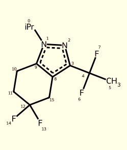 CC(C)n1nc(C(C)(F)F)c2c1CCC(F)(F)C2